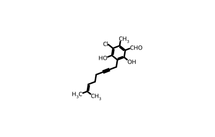 CC(C)=CCCC#CCc1c(O)c(Cl)c(C)c(C=O)c1O